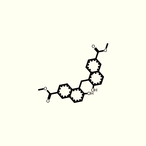 COC(=O)c1ccc2c(Cc3c(O)ccc4cc(C(=O)OC)ccc34)c(O)ccc2c1